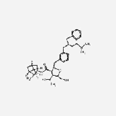 C[C@H](O)[C@@H]1[C@H](CO)ON(Cc2cccc(CN(CCN(C)C)Cc3ccccc3)c2)[C@@H]1C(=O)NC1C[C@H]2C[C@@H]([C@@H]1C)C2(C)C